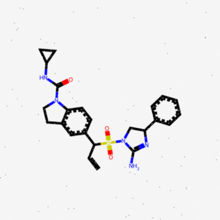 C=CC(c1ccc2c(c1)CCN2C(=O)NC1CC1)S(=O)(=O)N1CC(c2ccccc2)N=C1N